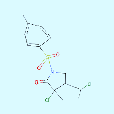 Cc1ccc(S(=O)(=O)N2CC(C(C)Cl)C(C)(Cl)C2=O)cc1